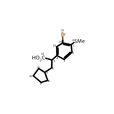 CSc1ccc(C(CC2CCCC2)C(=O)O)cc1Br